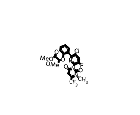 COC(=O)C(OC)Oc1ccccc1-c1nc(-n2c(=O)cc(C(F)(F)F)n(C)c2=O)c(F)cc1Cl